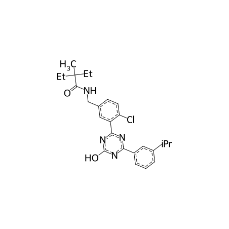 CCC(C)(CC)C(=O)NCc1ccc(Cl)c(-c2nc(O)nc(-c3cccc(C(C)C)c3)n2)c1